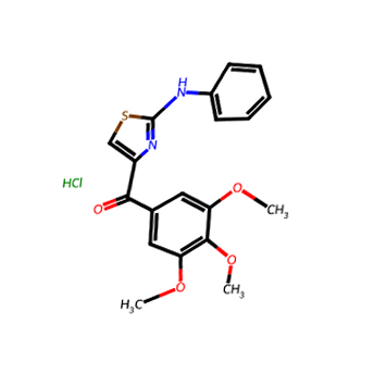 COc1cc(C(=O)c2csc(Nc3ccccc3)n2)cc(OC)c1OC.Cl